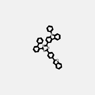 c1ccc(-c2ccccc2-c2nc(-c3ccc(-c4cc5ccccc5o4)cc3)nc(-c3ccc4c(c3)c3ccccc3n4-c3ccccc3)n2)cc1